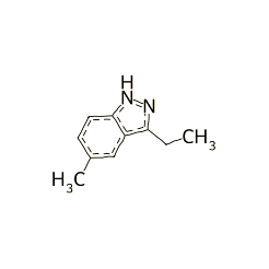 CCc1n[nH]c2ccc(C)cc12